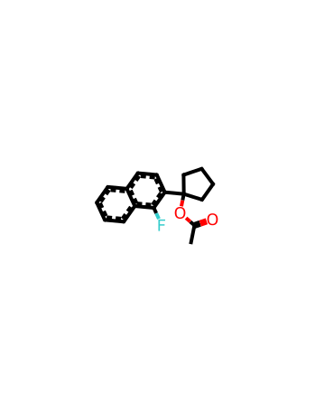 CC(=O)OC1(c2ccc3ccccc3c2F)CCCC1